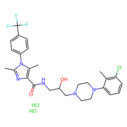 Cc1c(Cl)cccc1N1CCN(CC(O)CNC(=O)c2nc(C)n(-c3ccc(C(F)(F)F)cc3)c2C)CC1.Cl.Cl